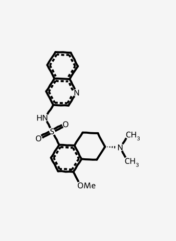 COc1ccc(S(=O)(=O)Nc2cnc3ccccc3c2)c2c1C[C@@H](N(C)C)CC2